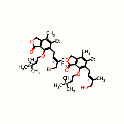 CCc1c(C)c2c(c(OCC[Si](C)(C)C)c1C/C=C(\C)CBr)C(=O)OC2.CCc1c(C)c2c(c(OCC[Si](C)(C)C)c1C/C=C(\C)CO)C(=O)OC2